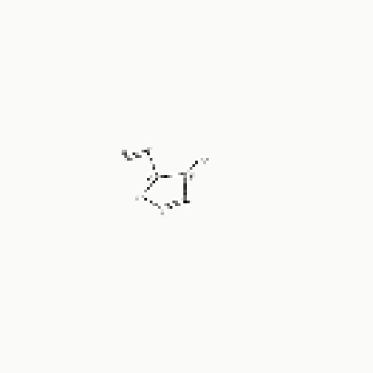 C=CC1CC=CC1C